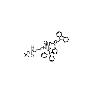 CC(C)(C)OC(=O)NCCCCNC(=O)[C@H](CSC(c1ccccc1)(c1ccccc1)c1ccccc1)NC(=O)OCC1c2ccccc2-c2ccccc21